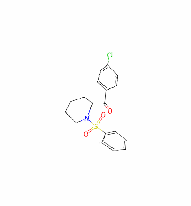 O=C(c1ccc(Cl)cc1)C1CCCCN1S(=O)(=O)c1[c]cccc1